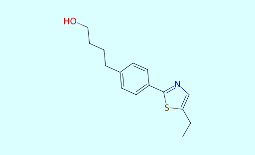 CCc1cnc(-c2ccc(CCCCO)cc2)s1